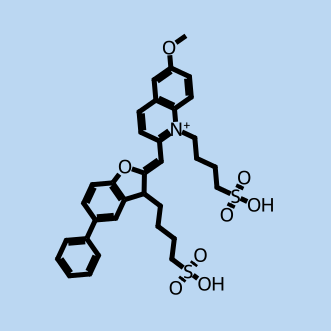 COc1ccc2c(ccc(C=C3Oc4ccc(-c5ccccc5)cc4C3CCCCS(=O)(=O)O)[n+]2CCCCS(=O)(=O)O)c1